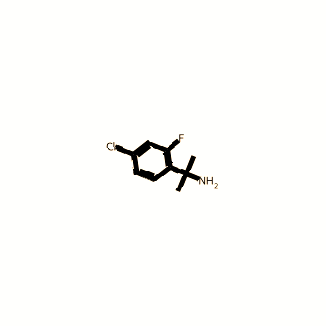 CC(C)(N)c1ccc(Cl)cc1F